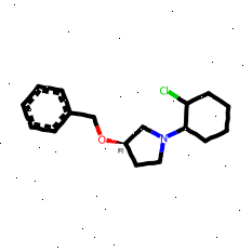 ClC1CCCCC1N1CC[C@@H](OCc2ccccc2)C1